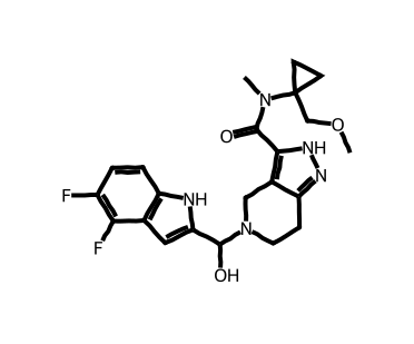 COCC1(N(C)C(=O)c2[nH]nc3c2CN(C(O)c2cc4c(F)c(F)ccc4[nH]2)CC3)CC1